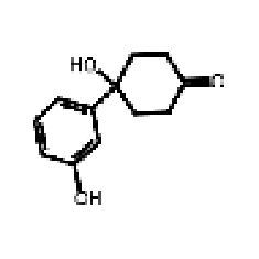 O=C1CCC(O)(c2cccc(O)c2)CC1